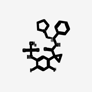 CS(=O)(=O)Nc1cc(C2(C(=O)N[C@H](CN3CCCC3)c3ccccc3)CC2)c(F)cc1F